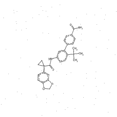 CC(C)(C)c1ccc(NC(=O)C2(c3ccc4c(c3)OCO4)CC2)cc1-c1ccc(C(N)=O)cc1